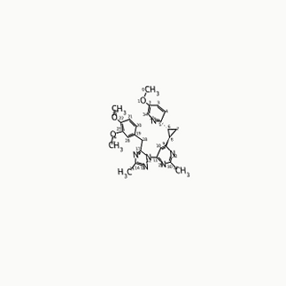 COc1ccc([C@@H]2C[C@H]2c2cc(-n3nc(C)nc3Cc3ccc(OC)c(OC)c3)nc(C)n2)nc1